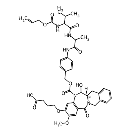 C=CCOC(=O)NC(C(=O)NC(C)C(=O)Nc1ccc(COC(=O)N2c3cc(OCCCC(=O)O)c(OC)cc3C(=O)N3Cc4ccccc4C[C@H]3C2O)cc1)C(C)C